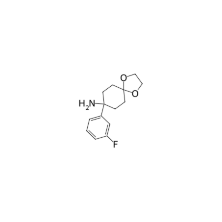 NC1(c2cccc(F)c2)CCC2(CC1)OCCO2